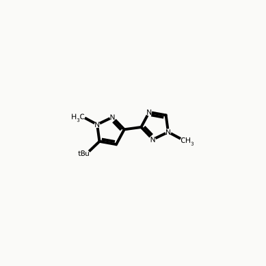 Cn1cnc(-c2cc(C(C)(C)C)n(C)n2)n1